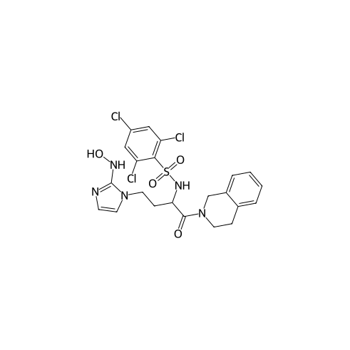 O=C(C(CCn1ccnc1NO)NS(=O)(=O)c1c(Cl)cc(Cl)cc1Cl)N1CCc2ccccc2C1